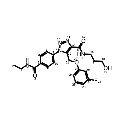 CCNC(=O)c1ccc(-n2nnc(C(=O)NCCCO)c2COc2cccc(F)c2)cc1